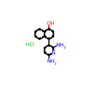 Cl.Nc1ccc(-c2ccc(O)c3ccccc23)c(N)n1